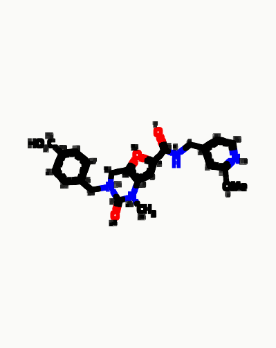 COc1cc(CNC(=O)c2cc3c(o2)CN(Cc2ccc(C(=O)O)cc2)C(=O)N3C)ccn1